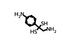 NCC(S)(S)c1ccc(N)cc1